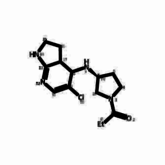 CCC(=O)N1CC[C@H](NC2C(Cl)=CN=C3NCCC32)C1